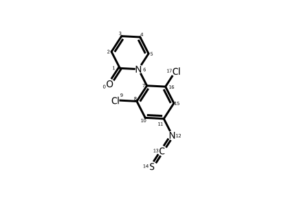 O=c1ccccn1-c1c(Cl)cc(N=C=S)cc1Cl